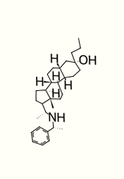 CCC[C@@]1(O)CC[C@H]2[C@H](CC[C@@H]3[C@@H]2CC[C@]2(C)C([C@@H](C)N[C@H](C)c4ccccc4)CC[C@@H]32)C1